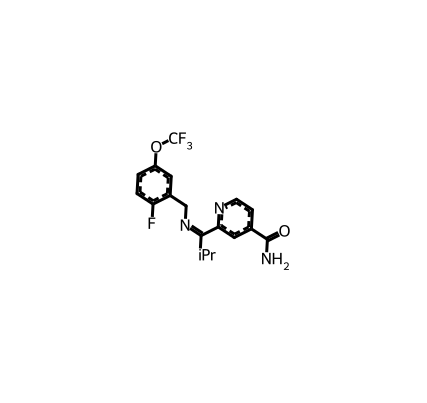 CC(C)C(=NCc1cc(OC(F)(F)F)ccc1F)c1cc(C(N)=O)ccn1